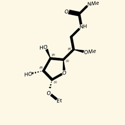 CCO[C@H]1O[C@H]([C@@H](CNC(=O)NC)OC)[C@H](O)[C@H]1O